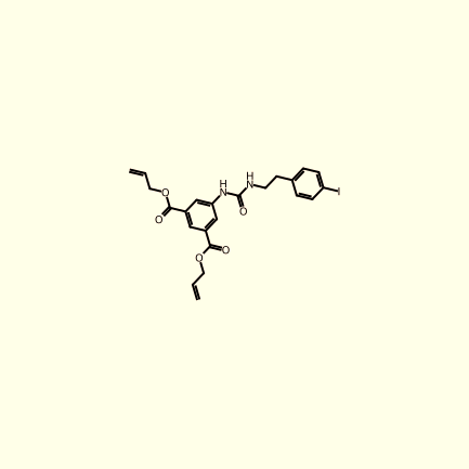 C=CCOC(=O)c1cc(NC(=O)NCCc2ccc(I)cc2)cc(C(=O)OCC=C)c1